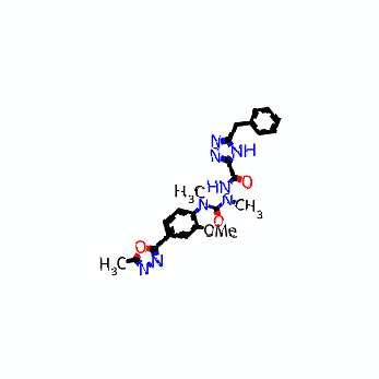 COc1cc(-c2nnc(C)o2)ccc1N(C)C(=O)N(C)NC(=O)c1nnc(Cc2ccccc2)[nH]1